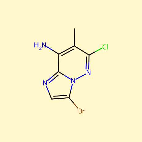 Cc1c(Cl)nn2c(Br)cnc2c1N